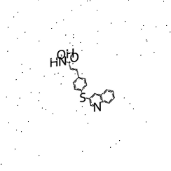 O=C(/C=C/c1ccc(Sc2cnc3ccccc3c2)cc1)NO